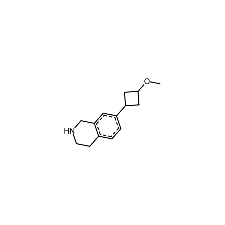 COC1CC(c2ccc3c(c2)CNCC3)C1